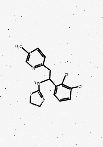 Cc1ccc(CC(NC2=NCCS2)c2cccc(Cl)c2Cl)nc1